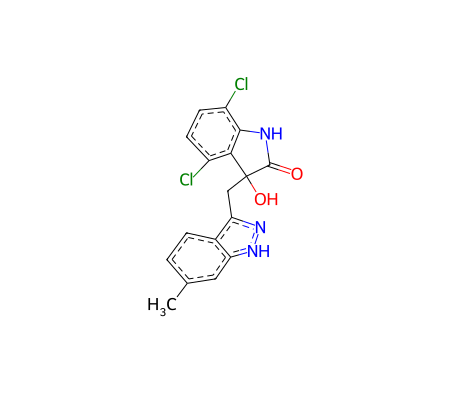 Cc1ccc2c(CC3(O)C(=O)Nc4c(Cl)ccc(Cl)c43)n[nH]c2c1